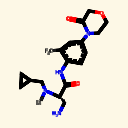 CCN(CC1CC1)[C@@H](CN)C(=O)Nc1ccc(N2CCOCC2=O)cc1C(F)(F)F